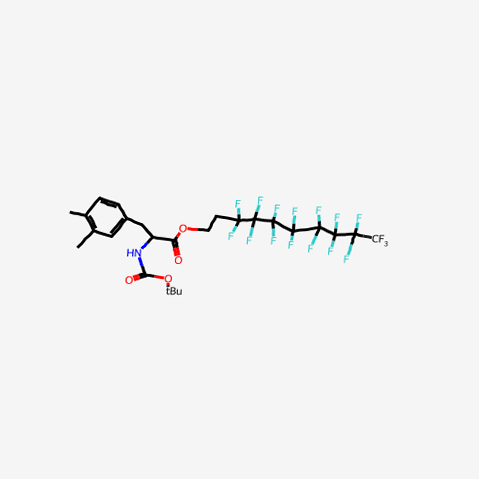 Cc1ccc(CC(NC(=O)OC(C)(C)C)C(=O)OCCC(F)(F)C(F)(F)C(F)(F)C(F)(F)C(F)(F)C(F)(F)C(F)(F)C(F)(F)F)cc1C